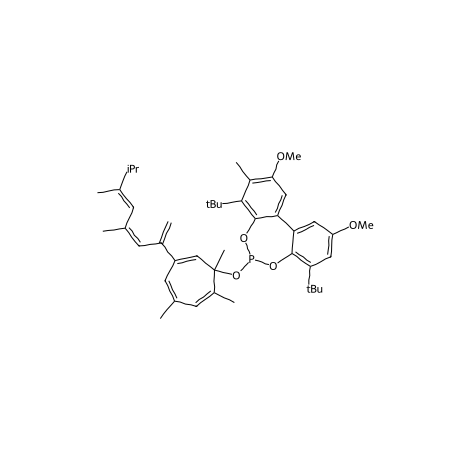 C=C(/C=C(C)\C=C(/C)C(C)C)C1=CC(C)(Op2oc3c(C(C)(C)C)cc(OC)cc3c3cc(OC)c(C)c(C(C)(C)C)c3o2)C(C)=CC(C)=C1